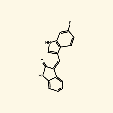 O=C1Nc2ccccc2C1=Cc1c[nH]c2cc(F)ccc12